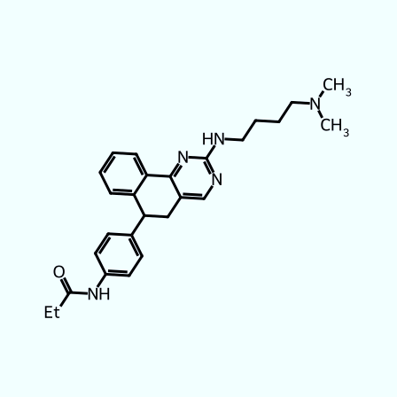 CCC(=O)Nc1ccc(C2Cc3cnc(NCCCCN(C)C)nc3-c3ccccc32)cc1